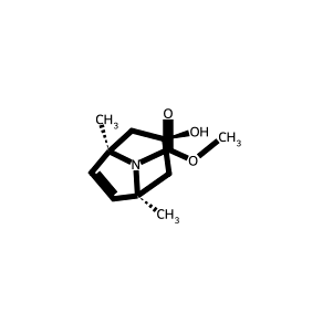 COC(=O)N1[C@@]2(C)C=C[C@]1(C)C[C@H](O)C2